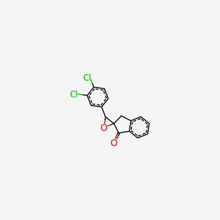 O=C1c2ccccc2CC12OC2c1ccc(Cl)c(Cl)c1